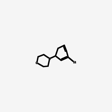 CCC1=CC(N2CCOCC2)CC=C1